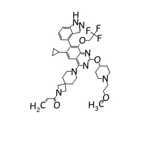 C=CC(=O)N1CC2(CCN(c3nc(OC4CCN(CCOC)CC4)nc4c(OCC(F)(F)F)c(-c5cccc6[nH]ncc56)c(C5CC5)cc34)CC2)C1